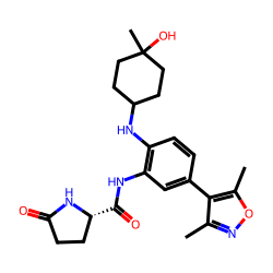 Cc1noc(C)c1-c1ccc(NC2CCC(C)(O)CC2)c(NC(=O)[C@@H]2CCC(=O)N2)c1